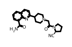 N#C[C@@H]1CCCN1C(=O)CN1CCC(c2ccc3cccc(C(N)=O)c3n2)CC1